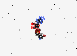 Nc1ncnc2c1ncn2[C@@H]1O[C@H](COP2(=O)OCC[C@@H](c3cncc(Br)c3)O2)[C@@H](O)[C@H]1O